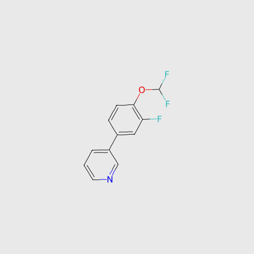 Fc1cc(-c2cccnc2)ccc1OC(F)F